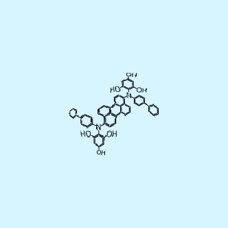 Oc1cc(O)c(N(c2ccc(-c3ccccc3)cc2)c2ccc3c4cccc5c(N(c6ccc(-c7ccccc7)cc6)c6c(O)cc(O)cc6O)ccc(c6cccc2c63)c54)c(O)c1